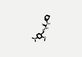 COc1cc(N(C)C)ccc1/C=N/NC(=S)NC1CC2C=CC1C2